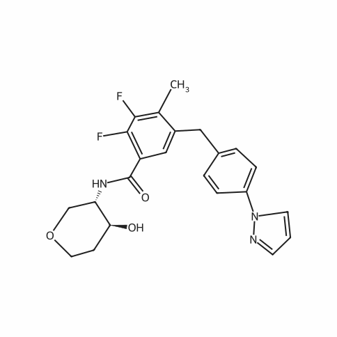 Cc1c(Cc2ccc(-n3cccn3)cc2)cc(C(=O)N[C@H]2COCC[C@@H]2O)c(F)c1F